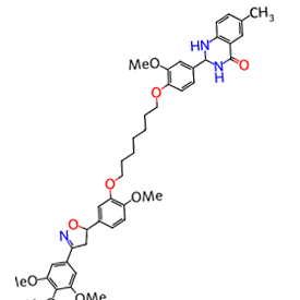 COc1cc(C2NC(=O)c3cc(C)ccc3N2)ccc1OCCCCCCCOc1cc(C2CC(c3cc(OC)c(OC)c(OC)c3)=NO2)ccc1OC